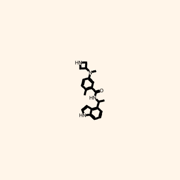 Cc1ccc(N(C)C2CNC2)cc1C(=O)NC(C)c1cccc2[nH]ccc12